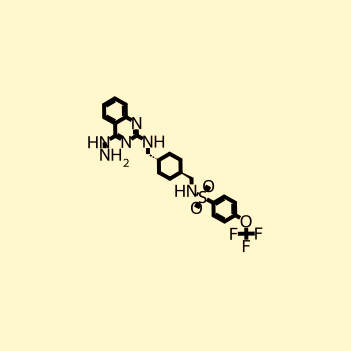 NNc1nc(NC[C@H]2CC[C@H](CNS(=O)(=O)c3ccc(OC(F)(F)F)cc3)CC2)nc2ccccc12